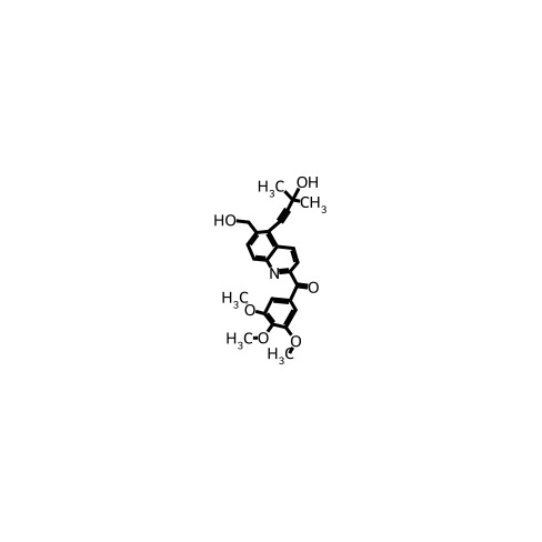 COc1cc(C(=O)c2ccc3c(C#CC(C)(C)O)c(CO)ccc3n2)cc(OC)c1OC